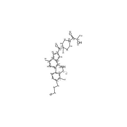 Cc1c(CCCF)cccc1[C@@H](C)Nc1nnc(C)c2sc(C(=O)C3(C)CCN(C(=O)C(C)O)CC3)cc12